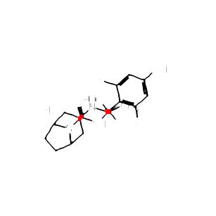 Cc1cc(Cl)c(CNC2CC3CC[C@@H](C2)N3C(=O)OC(C)(C)C)c(Br)c1